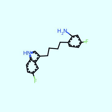 Nc1cc(F)ccc1CCCCc1c[nH]c2ccc(F)cc12